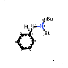 CCCCN(CC)[SiH2]c1ccccc1